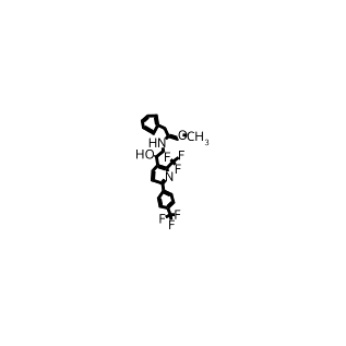 CO/C=C(\Cc1ccccc1)NC[C@@H](O)c1ccc(-c2ccc(C(F)(F)F)cc2)nc1C(F)(F)F